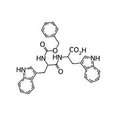 O=C(NC(Cc1c[nH]c2ccccc12)C(=O)NC(Cc1c[nH]c2ccccc12)C(=O)O)OCc1ccccc1